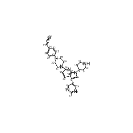 Cc1ncc(-c2cn(C3CCNCC3)c3nc(N4CCN(c5ccc(C=C=O)cc5)CC4)ccc23)cn1